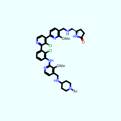 COc1nc(-c2ccnc(-c3cccc(Nc4nccc(CNC5CCN(C(C)=O)CC5)c4OC)c3Cl)c2Cl)ccc1CNC[C@H]1CCC(=O)N1